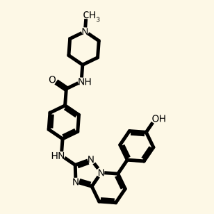 CN1CCC(NC(=O)c2ccc(Nc3nc4cccc(-c5ccc(O)cc5)n4n3)cc2)CC1